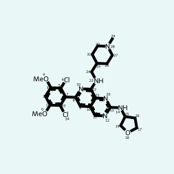 COc1cc(OC)c(Cl)c(-c2cc3cnc(NC4CCOC4)nc3c(NCC3CCN(C)CC3)n2)c1Cl